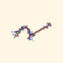 CCCN(CCC)C(=O)C1=Cc2ccc(C(=O)Nc3cnc4c(c3)CN(C(=O)OCc3ccc(NC(=O)[C@H](CCCNC(N)=O)NC(=O)[C@@H](NC(=O)CCOCCOCCOCCOCCNC(=O)CCN5C(=O)C=CC5=O)C(C)C)cc3)CC4)cc2N=C(N)C1